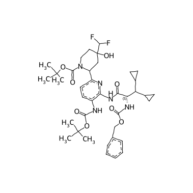 CC(C)(C)OC(=O)Nc1ccc(C2CC(O)(C(F)F)CCN2C(=O)OC(C)(C)C)nc1NC(=O)[C@@H](NC(=O)OCc1ccccc1)C(C1CC1)C1CC1